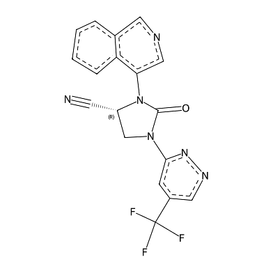 N#C[C@H]1CN(c2cc(C(F)(F)F)cnn2)C(=O)N1c1cncc2ccccc12